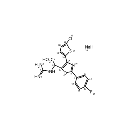 N=C(N)NC(C(=O)O)c1oc(-c2ccc(F)cc2)nc1-c1ccc(Cl)s1.[NaH]